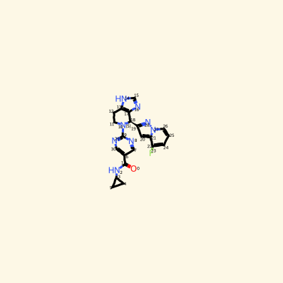 O=C(NC1CC1)c1cnc(N2CCc3[nH]cnc3[C@H]2c2cc3c(F)cccn3n2)nc1